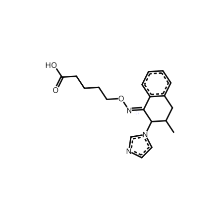 CC1Cc2ccccc2/C(=N\OCCCCC(=O)O)C1n1ccnc1